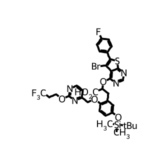 CC(C)(C)[Si](C)(C)Oc1ccc(OCc2ccnc(OCCC(F)(F)F)n2)c(CC(Oc2ncnc3sc(-c4ccc(F)cc4)c(Br)c23)C(=O)O)c1